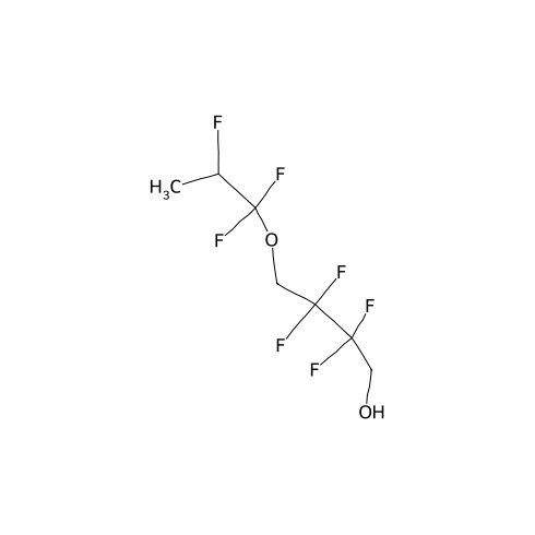 CC(F)C(F)(F)OCC(F)(F)C(F)(F)CO